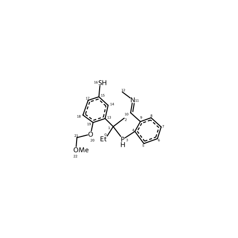 CCC(C)(Pc1ccccc1/C=N/C)c1cc(S)ccc1OCOC